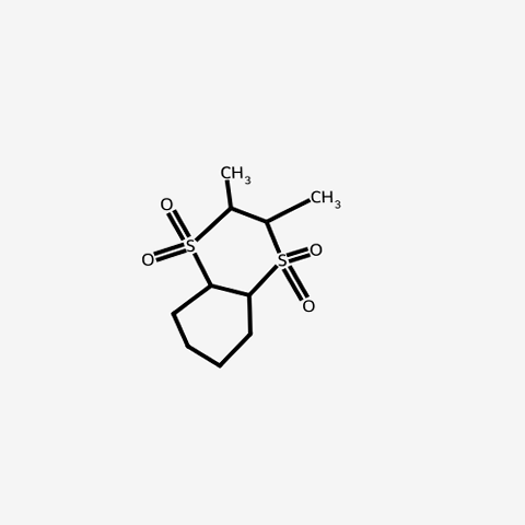 CC1C(C)S(=O)(=O)C2CCCCC2S1(=O)=O